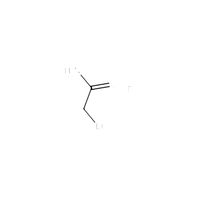 CCCC(N)=O.F